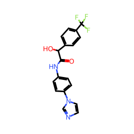 O=C(Nc1ccc(-n2ccnc2)cc1)C(O)c1ccc(C(F)(F)F)cc1